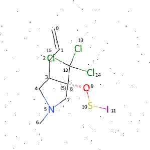 C=CCC1CN(C)C[C@]1(OSI)C(Cl)(Cl)Cl